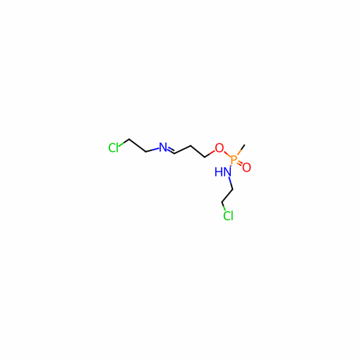 CP(=O)(NCCCl)OCC/C=N/CCCl